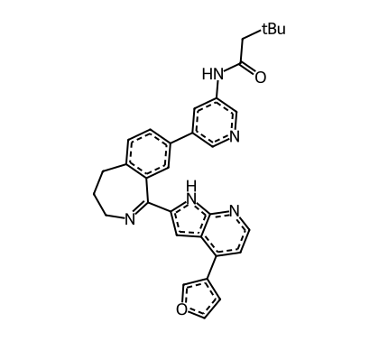 CC(C)(C)CC(=O)Nc1cncc(-c2ccc3c(c2)C(c2cc4c(-c5ccoc5)ccnc4[nH]2)=NCCC3)c1